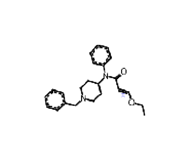 CCO/C=C/C(=O)N(c1ccccc1)C1CCN(Cc2ccccc2)CC1